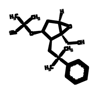 CC(C)(C)[Si](C)(C)O[C@H]1C[C@H]2O[C@@]2(CO)[C@H]1C[Si](C)(C)c1ccccc1